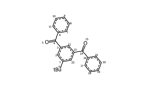 CC(C)(C)c1cc(C(=O)c2ccccc2)cc(C(=O)c2ccccc2)c1